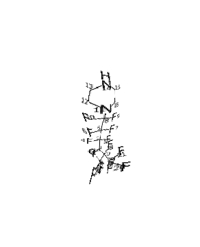 O=C(C(F)(F)C(F)(F)C(F)(F)N1CCNCC1)C(F)(C(F)(F)F)C(F)(F)F